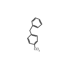 ClC(Cl)(Cl)c1ccc(Cc2ccccc2)cc1